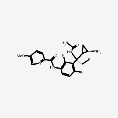 COc1ccc(C(=O)Nc2ccc(F)c([C@@](CF)(NC(N)=O)[C@H]3C[C@H]3N)c2F)nc1